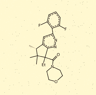 CCC1(C(=O)N2CCOCC2)c2nnc(-c3c(F)cccc3F)cc2[C@@H](C)C1(C)C